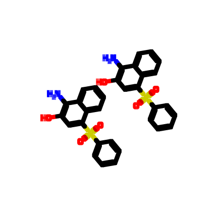 Nc1c(O)cc(S(=O)(=O)c2ccccc2)c2ccccc12.Nc1c(O)cc(S(=O)(=O)c2ccccc2)c2ccccc12